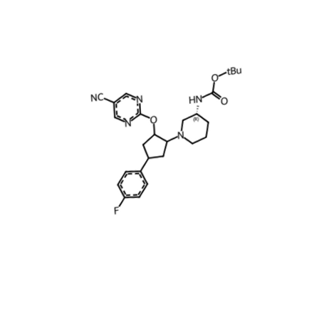 CC(C)(C)OC(=O)N[C@@H]1CCCN(C2CC(c3ccc(F)cc3)CC2Oc2ncc(C#N)cn2)C1